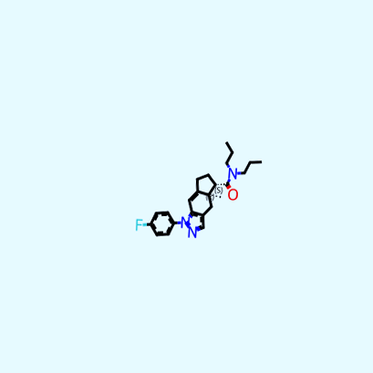 CCCN(CCC)C(=O)[C@H]1CCC2=Cc3c(cnn3-c3ccc(F)cc3)C[C@@]21C